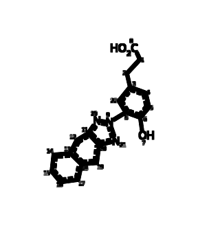 O=C(O)CCc1ccc(O)c(-n2nc3cc4ccccc4cc3n2)c1